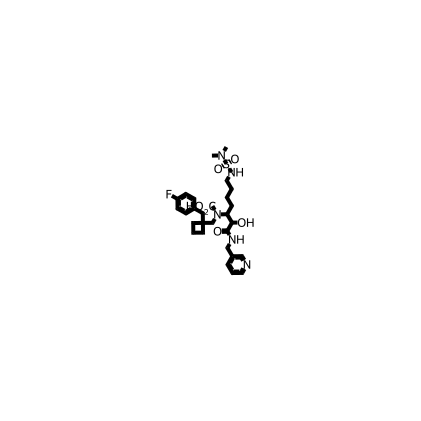 CN(C)S(=O)(=O)NCCCCC(C(O)C(=O)NCc1cccnc1)N(CC1(Cc2ccc(F)cc2)CCC1)C(=O)O